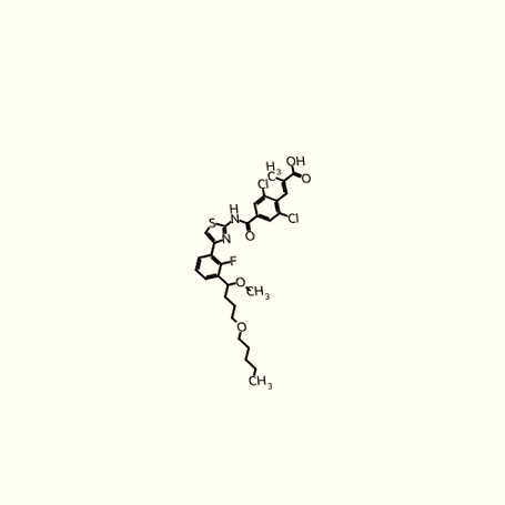 CCCCCOCCCC(OC)c1cccc(-c2csc(NC(=O)c3cc(Cl)c(C=C(C)C(=O)O)c(Cl)c3)n2)c1F